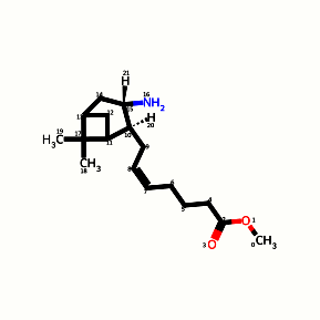 COC(=O)CCC/C=C\C[C@H]1C2CC(C[C@@H]1N)C2(C)C